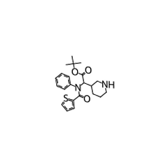 CC(C)(C)OC(=O)C(C1CCCNC1)N(C(=O)c1cccs1)c1ccccc1